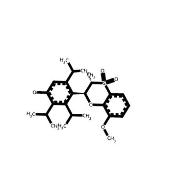 COc1cccc2c1O[C@@H](c1c(C(C)C)cc([O])c(C(C)C)c1C(C)C)[C@H](C)S2(=O)=O